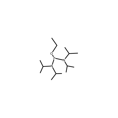 CCOP(N(C(C)C)C(C)C)N(C(C)C)C(C)C